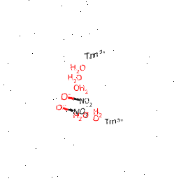 O.O.O.O.O.O=[N+]([O-])[O-].O=[N+]([O-])[O-].[Tm+3].[Tm+3]